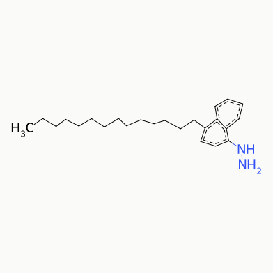 CCCCCCCCCCCCCCc1ccc(NN)c2ccccc12